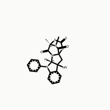 CCCC12CC34SC(=S)S[C@](C)(C(=O)N3[C@H]1N(c1ccccc1)c1ccccc12)N(C)C4=O